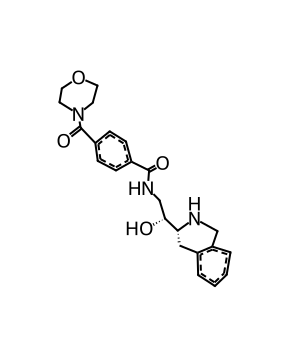 O=C(NC[C@@H](O)[C@H]1Cc2ccccc2CN1)c1ccc(C(=O)N2CCOCC2)cc1